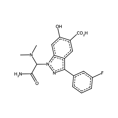 CN(C)C(C(N)=O)n1nc(-c2cccc(F)c2)c2cc(C(=O)O)c(O)cc21